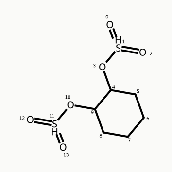 O=[SH](=O)OC1CCCCC1O[SH](=O)=O